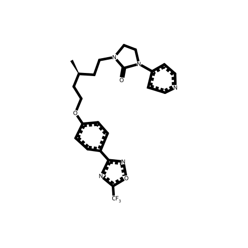 C[C@H](CCOc1ccc(-c2noc(C(F)(F)F)n2)cc1)CCN1CCN(c2ccncc2)C1=O